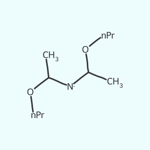 CCCOC(C)[N]C(C)OCCC